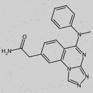 CN(c1ccccc1)c1nc2nncn2c2cc(CC(N)=O)ccc12